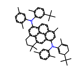 CC1=CCC(C(C)(C)C)C=C1N(c1cc(C)ccc1C)c1cc(C)c2ccc3c(N(c4cc(C)ccc4C)c4cc(C(C)(C)C)ccc4C)cc4c5c(cc1c2c35)C(C)(C)CC4